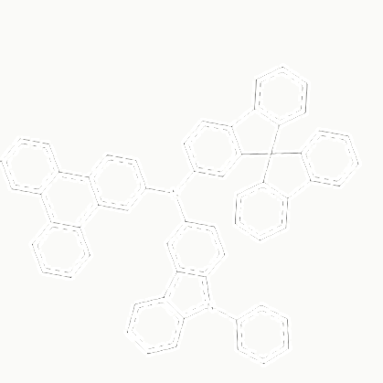 c1ccc(-n2c3ccccc3c3cc(N(c4ccc5c(c4)C4(c6ccccc6-c6ccccc64)c4ccccc4-5)c4ccc5c6ccccc6c6ccccc6c5c4)ccc32)cc1